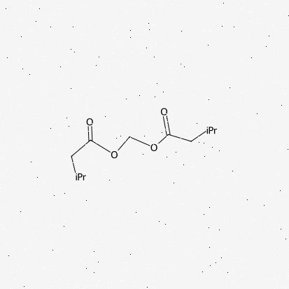 CC(C)CC(=O)OCOC(=O)CC(C)C